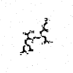 CCOC(=O)CN(CCNC(CN1CC(=O)OC(=O)C1)C(=O)O)CC(=O)O